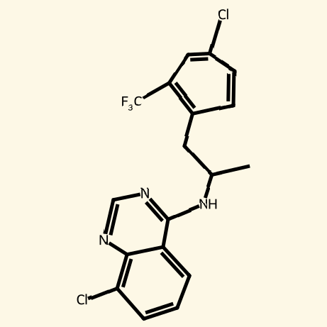 CC(Cc1ccc(Cl)cc1C(F)(F)F)Nc1ncnc2c(Cl)cccc12